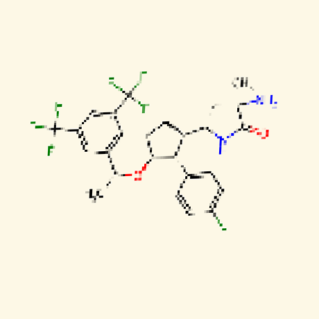 C[C@@H](O[C@H]1CC[C@@H]([C@@H]2C[C@@](C)(N)C(=O)N2)[C@@H]1c1ccc(F)cc1)c1cc(C(F)(F)F)cc(C(F)(F)F)c1